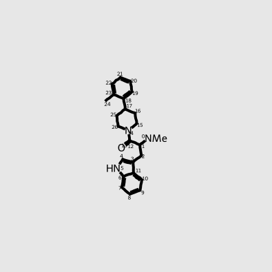 CNC(Cc1c[nH]c2ccccc12)C(=O)N1CCC(c2ccccc2C)CC1